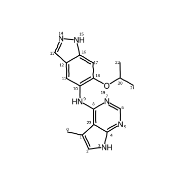 Cc1c[nH]c2ncnc(Nc3cc4cn[nH]c4cc3OC(C)C)c12